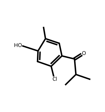 Cc1cc(C(=O)C(C)C)c(Cl)cc1O